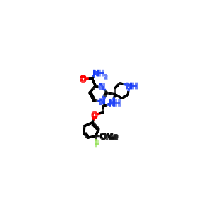 COC1(F)C=CCC(OCCNC2(c3nccc(C(N)=O)n3)CCNCC2)=C1